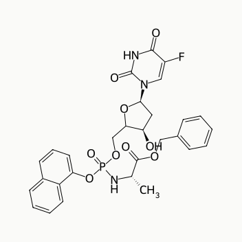 C[C@H](NP(=O)(OCC1O[C@@H](n2cc(F)c(=O)[nH]c2=O)C[C@H]1O)Oc1cccc2ccccc12)C(=O)OCc1ccccc1